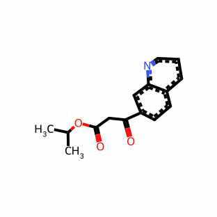 CC(C)OC(=O)CC(=O)c1ccc2cccnc2c1